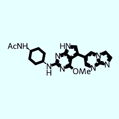 COc1nc(N[C@H]2CC[C@@H](NC(C)=O)CC2)nc2[nH]cc(-c3cnc4nccn4c3)c12